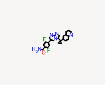 NC(=O)c1cc(F)c(-c2cnc3ncc(C4(c5ccc6ncccc6c5)CC4)n3c2)cc1F